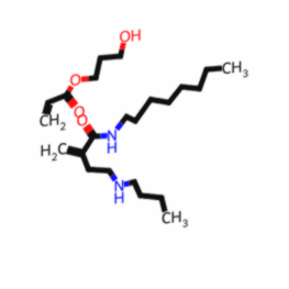 C=C(CCNCCCC)C(=O)NCCCCCCCC.C=CC(=O)OCCCO